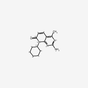 Cc1nc(N)nc2c1ccc(=O)n2C1CCCCC1